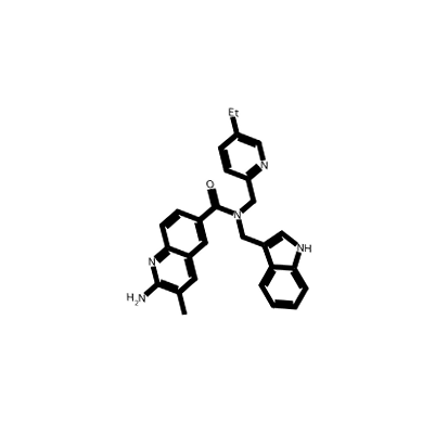 CCc1ccc(CN(Cc2c[nH]c3ccccc23)C(=O)c2ccc3nc(N)c(C)cc3c2)nc1